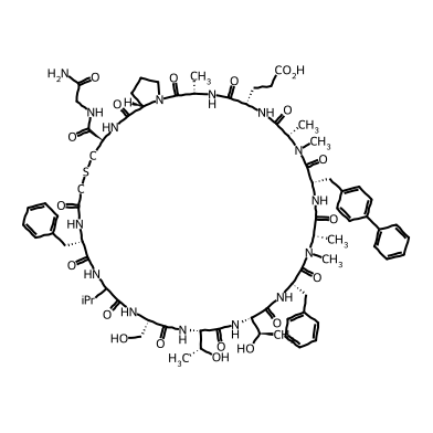 CC(C)C1NC(=O)[C@H](Cc2ccccc2)NC(=O)CSC[C@@H](C(=O)NCC(N)=O)NC(=O)[C@@H]2CCCN2C(=O)[C@H](C)NC(=O)[C@H](CCC(=O)O)NC(=O)[C@H](C)N(C)C(=O)[C@H](Cc2ccc(-c3ccccc3)cc2)NC(=O)[C@H](C)N(C)C(=O)[C@H](Cc2ccccc2)NC(=O)[C@H]([C@@H](C)O)NC(=O)[C@H]([C@@H](C)O)NC(=O)[C@H](CO)NC1=O